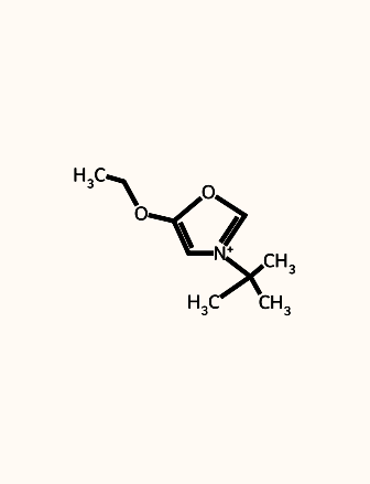 CCOc1c[n+](C(C)(C)C)co1